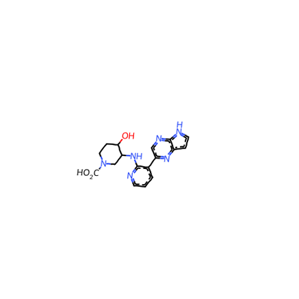 O=C(O)N1CCC(O)C(Nc2ncccc2-c2cnc3[nH]ccc3n2)C1